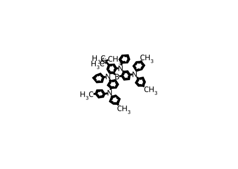 Cc1ccc(N(c2ccc(C)cc2)c2ccc3c(c2)N(c2ccccc2)c2cc([Si](C)(C)C)cc4c2B3c2ccc(N(c3ccc(C)cc3)c3ccc(C)cc3)cc2N4c2ccccc2)cc1